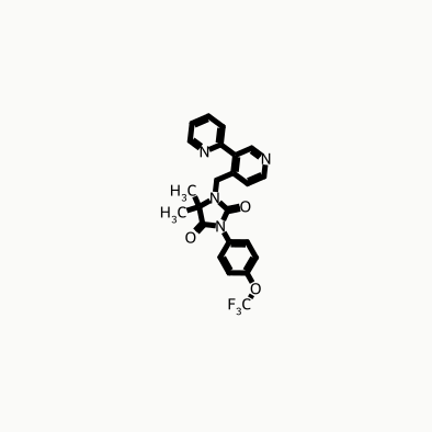 CC1(C)C(=O)N(c2ccc(OC(F)(F)F)cc2)C(=O)N1Cc1ccncc1-c1ccccn1